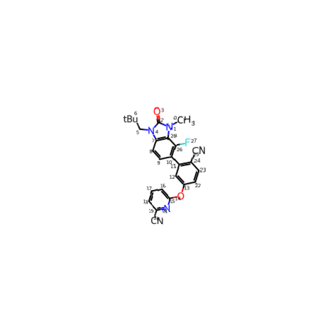 Cn1c(=O)n(CC(C)(C)C)c2ccc(-c3cc(Oc4cccc(C#N)n4)ccc3C#N)c(F)c21